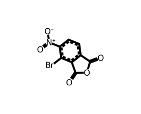 O=C1OC(=O)c2c1ccc([N+](=O)[O-])c2Br